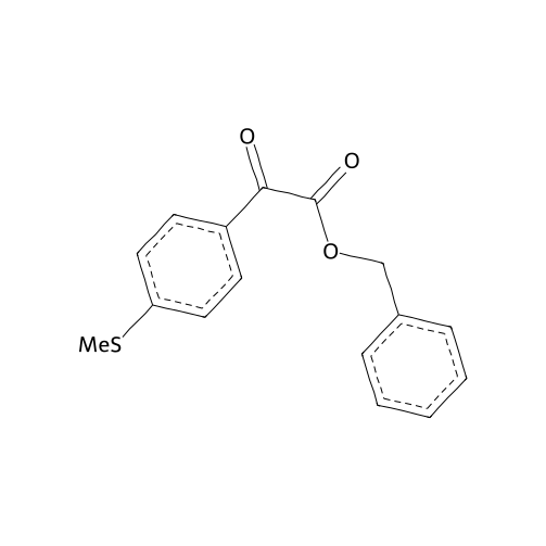 CSc1ccc(C(=O)C(=O)OCc2ccccc2)cc1